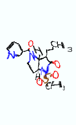 CCC[C@H]1C(=O)N(S(C)(=O)=O)[C@H]2CCN(C(=O)c3cccnc3)[C@H]12